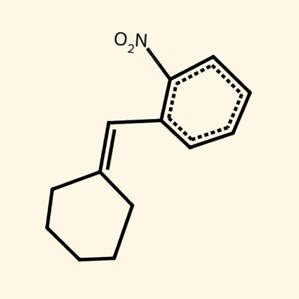 O=[N+]([O-])c1ccccc1C=C1CCCCC1